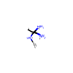 CCNC(C)(N)N